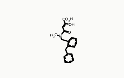 CN(Cc1ccccc1Cc1ccccc1)C(=O)C=C(O)C(=O)O